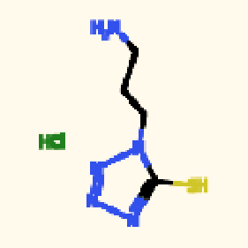 Cl.NCCCn1nnnc1S